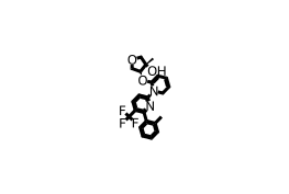 Cc1ccccc1-c1nc(N2CC=CC=C2O[C@@H]2COC[C@]2(C)O)ccc1C(F)(F)F